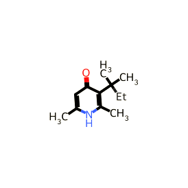 CCC(C)(C)c1c(C)[nH]c(C)cc1=O